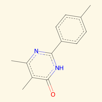 Cc1ccc(-c2nc(C)c(C)c(=O)[nH]2)cc1